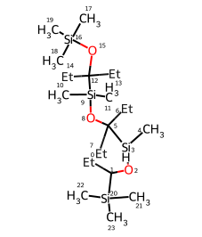 CCC(O[SiH](C)C(CC)(CC)O[Si](C)(C)C(CC)(CC)O[Si](C)(C)C)[Si](C)(C)C